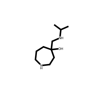 CC(C)NCC1(O)CCCNCC1